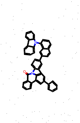 O=c1c2ccccc2c2cc(-c3ccccc3)cc3c4cc(-c5ccc6cccc(-n7c8ccccc8c8ccccc87)c6c5)ccc4n1c23